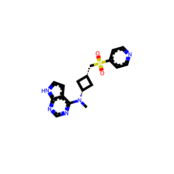 CN(c1ncnc2[nH]ccc12)[C@H]1C[C@@H](CS(=O)(=O)c2ccncc2)C1